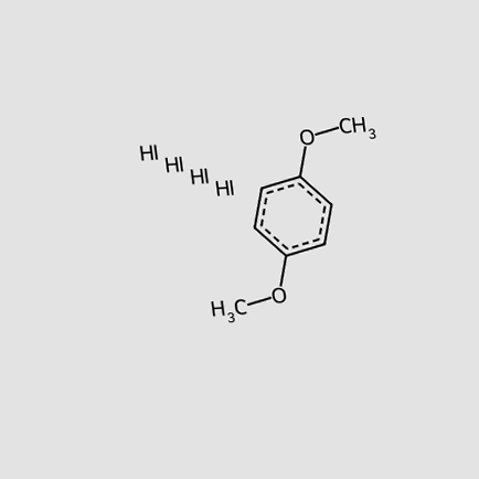 COc1ccc(OC)cc1.I.I.I.I